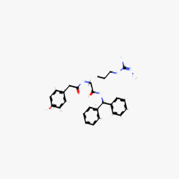 N/C(=N/[N+](=O)[O-])NCCC[C@@H](NC(=O)Cc1ccc(O)cc1)C(=O)NC(c1ccccc1)c1ccccc1